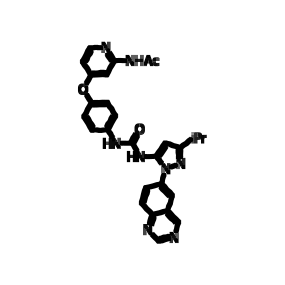 CC(=O)Nc1cc(Oc2ccc(NC(=O)Nc3cc(C(C)C)nn3-c3ccc4ncncc4c3)cc2)ccn1